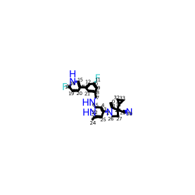 C=C1N(C2=CC(NCc3cc(F)cc(C4=CNC(F)C=C4)c3)NC(C)=C2)CCC1(C#N)C1CC1